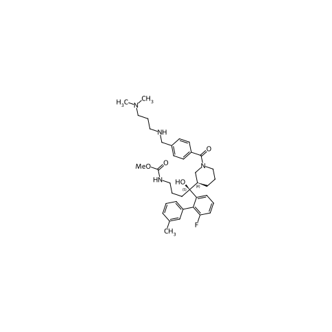 COC(=O)NCCC[C@@](O)(c1cccc(F)c1-c1cccc(C)c1)[C@@H]1CCCN(C(=O)c2ccc(CNCCCN(C)C)cc2)C1